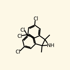 CC1(c2cc(Cl)cc(Cl)c2)NC1(C)c1cc(Cl)cc(Cl)c1